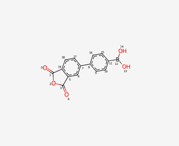 O=C1OC(=O)c2cc(-c3ccc(B(O)O)cc3)ccc21